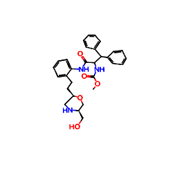 COC(=O)NC(C(=O)Nc1ccccc1CC[C@@H]1CN[C@H](CO)CO1)C(c1ccccc1)c1ccccc1